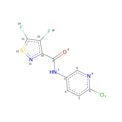 O=C(Nc1ccc(Cl)nc1)c1nsc(F)c1F